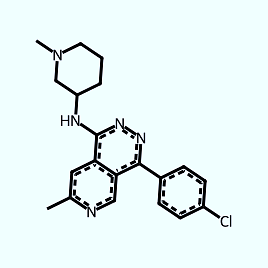 Cc1cc2c(NC3CCCN(C)C3)nnc(-c3ccc(Cl)cc3)c2cn1